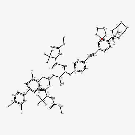 COC(=O)NC(C(=O)N[C@@H](Cc1ccc(C#Cc2ccc(N3CC4CCC(C3)N4C(=O)[C@@H]3CCCO3)nc2)cc1)[C@@H](O)CN(Cc1c(F)cc(-c2cnc(F)c(F)c2)cc1F)NC(=O)[C@@H](NC(=O)OC)C(C)(C)C)C(C)(C)C